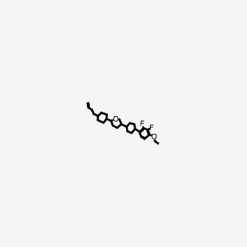 C=CCCC1CCC(C2CCC(C3CCC(c4ccc(OCC)c(F)c4F)CC3)CO2)CC1